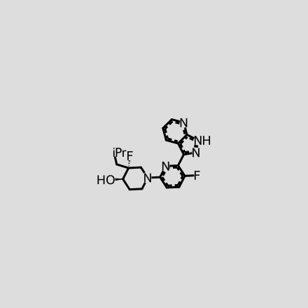 CC(C)C[C@@]1(F)CN(c2ccc(F)c(-c3n[nH]c4ncccc34)n2)CC[C@H]1O